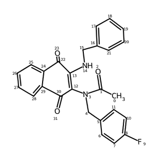 CC(=O)N(Cc1ccc(F)cc1)C1=C(NCc2ccccc2)C(=O)c2ccccc2C1=O